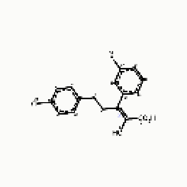 O=C(O)/C(O)=C(/CCc1ccc(Cl)cc1)c1cccc(F)c1